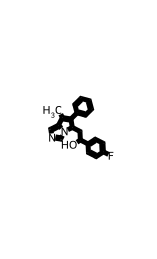 CC1=C(c2ccccc2)C(CC(O)c2ccc(F)cc2)n2cncc21